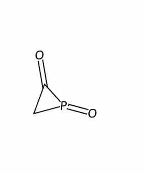 O=C1C[P]1=O